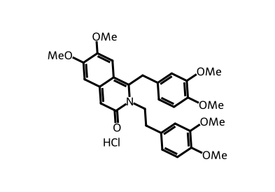 COc1ccc(CCn2c(Cc3ccc(OC)c(OC)c3)c3cc(OC)c(OC)cc3cc2=O)cc1OC.Cl